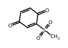 CS(=O)(=O)C1=CC(=O)C=CC1=O